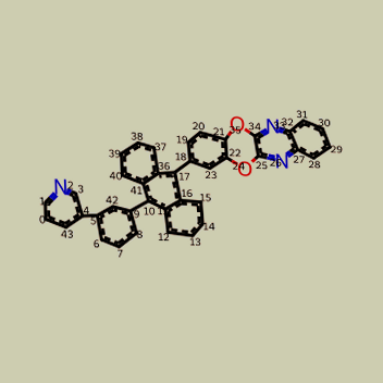 c1cncc(-c2cccc(-c3c4ccccc4c(-c4ccc5c(c4)Oc4nc6ccccc6nc4O5)c4ccccc34)c2)c1